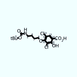 CC(C)(C)OC(=O)NCCCCOc1c(Cl)cc(C(=O)O)c(O)c1Cl